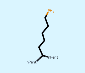 CCCCCC(CCCCC)CCCCCP